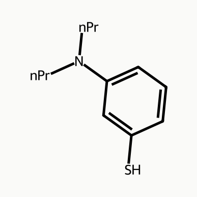 CCCN(CCC)c1cccc(S)c1